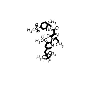 CCc1nc(C(=O)NC[C@]2(C)CC[C@@H](S(C)(=O)=O)CC2)c(C)n1-c1ncc(CC(C)(C)C(F)(F)F)cc1OC